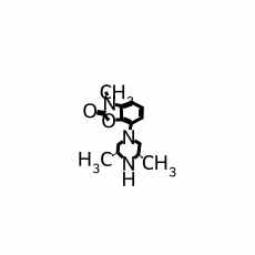 C[C@@H]1CN(c2cccc3c2oc(=O)n3C)C[C@H](C)N1